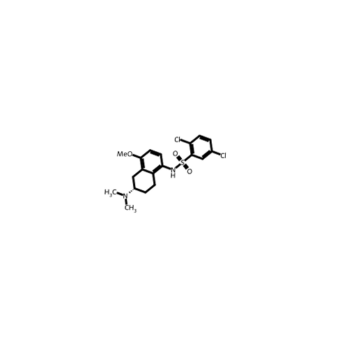 COc1ccc(NS(=O)(=O)c2cc(Cl)ccc2Cl)c2c1C[C@@H](N(C)C)CC2